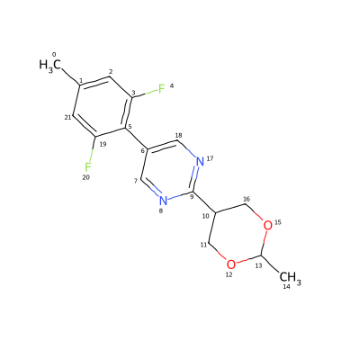 Cc1cc(F)c(-c2cnc(C3COC(C)OC3)nc2)c(F)c1